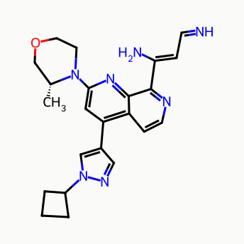 C[C@@H]1COCCN1c1cc(-c2cnn(C3CCC3)c2)c2ccnc(/C(N)=C/C=N)c2n1